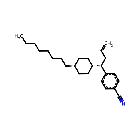 C=CCC(c1ccc(C#N)cc1)[C@H]1CC[C@H](CCCCCCCC)CC1